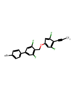 CCCc1ccc(-c2cc(F)c(COc3cc(F)c(C#CC(F)(F)F)c(F)c3)c(F)c2)cc1